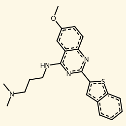 COc1ccc2nc(-c3cc4ccccc4s3)nc(NCCCN(C)C)c2c1